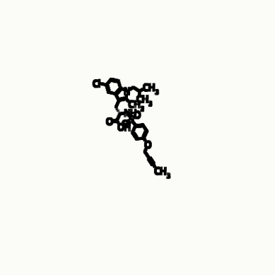 CC#CCOc1ccc(S(=O)(=O)N[C@@H](Cc2c(C)n(CC(C)C)c3ccc(Cl)cc23)C(=O)O)cc1